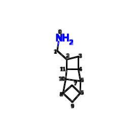 NCC1CC2C3C4CC(C4)C3C12